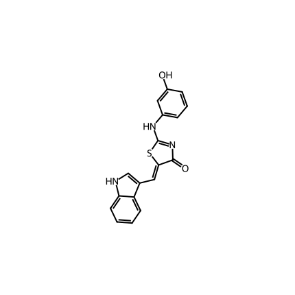 O=C1N=C(Nc2cccc(O)c2)SC1=Cc1c[nH]c2ccccc12